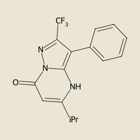 CC(C)c1cc(=O)n2nc(C(F)(F)F)c(-c3ccccc3)c2[nH]1